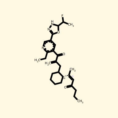 C=C(CC1CCCC[C@H]1/C(C)=C\C(=O)CCC)C(=O)c1cc(C2=NNC(C(C)F)O2)cnc1CC